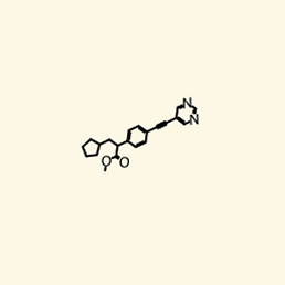 COC(=O)C(CC1CCCC1)c1ccc(C#Cc2cncnc2)cc1